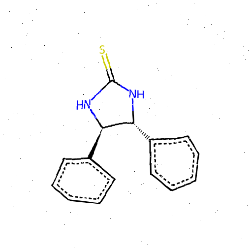 S=C1N[C@H](c2ccccc2)[C@@H](c2ccccc2)N1